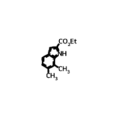 CCOC(=O)c1cc2ccc(C)c(C)c2[nH]1